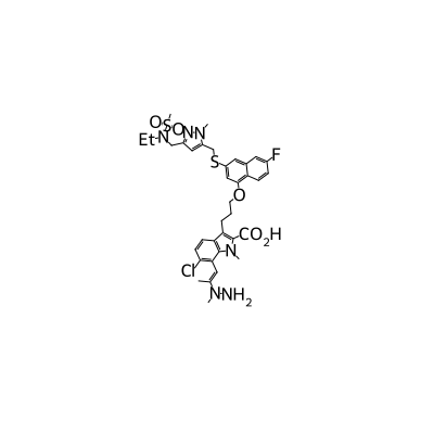 CCN(Cc1cc(CSc2cc(OCCCc3c(C(=O)O)n(C)c4c(/C=C(\C)N(C)N)c(Cl)ccc34)c3ccc(F)cc3c2)n(C)n1)S(C)(=O)=O